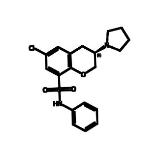 O=S(=O)(Nc1ccccc1)c1cc(Cl)cc2c1OC[C@H](N1CCCC1)C2